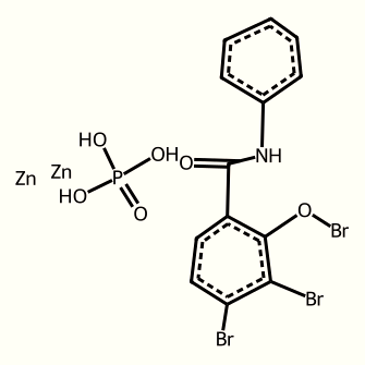 O=C(Nc1ccccc1)c1ccc(Br)c(Br)c1OBr.O=P(O)(O)O.[Zn].[Zn]